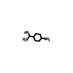 CCCC(N)C1CCC(N)CC1